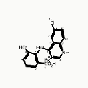 O=C(O)c1cccc(O)c1Nc1c(S)cnc2ccc(Cl)cc12